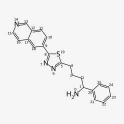 NC([CH]CCc1nnc(-c2ccc3cnccc3c2)s1)c1ccccc1